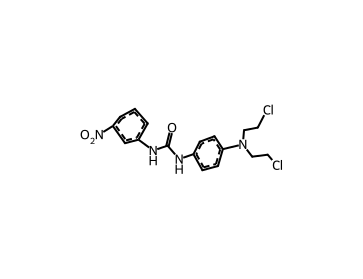 O=C(Nc1ccc(N(CCCl)CCCl)cc1)Nc1cccc([N+](=O)[O-])c1